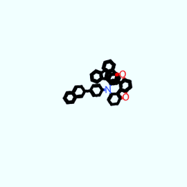 C1=CC(N(C2=CCCc3oc4ccc5oc6c7ccccc7ccc6c5c4c32)c2cccc3c2-c2ccccc2C3)CC=C1C1C=c2ccccc2=CC1